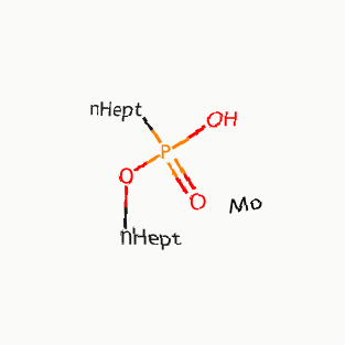 CCCCCCCOP(=O)(O)CCCCCCC.[Mo]